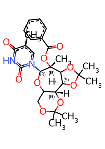 Cc1cn([C@@H]2OC3COC(C)(C)O[C@H]3[C@@H]3OC(C)(C)OC3[C@@]2(C)OC(=O)c2ccccc2)c(=O)[nH]c1=O